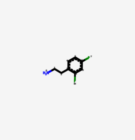 NCCc1ccc(F)cc1F